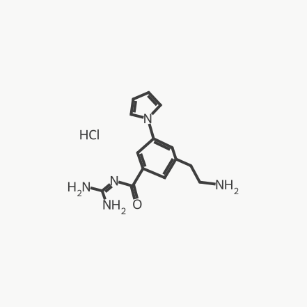 Cl.NCCc1cc(C(=O)N=C(N)N)cc(-n2cccc2)c1